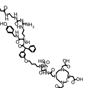 CCC(=O)NCCNC(=O)/N=C(/N)NCCC[C@@H](NC(=O)C(c1ccccc1)c1cccc(OCCCCNC(=O)[C@H](CS(=O)(=O)O)NC(=O)CN2CCN(CC(=O)O)CCN(CC(=O)O)CCN(CC(=O)O)CC2)c1)C(=O)NCc1ccc(O)cc1